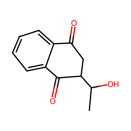 CC(O)C1CC(=O)c2ccccc2C1=O